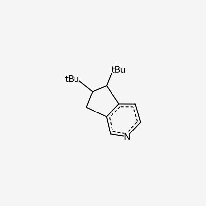 CC(C)(C)C1Cc2cnccc2C1C(C)(C)C